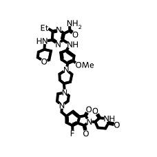 CCc1nc(C(N)=O)c(Nc2ccc(N3CCC(N4CCN(Cc5cc(F)c6c(c5)C(=O)N(C5CCC(=O)NC5=O)C6=O)CC4)CC3)c(OC)c2)nc1NC1CCOCC1